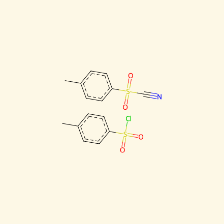 Cc1ccc(S(=O)(=O)C#N)cc1.Cc1ccc(S(=O)(=O)Cl)cc1